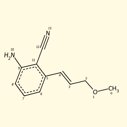 COCC=Cc1cccc(N)c1C#N